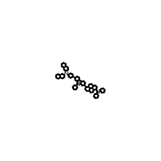 c1ccc(N(c2ccccc2)c2ccc3ccc4c(-c5ccc6c7ccc(-c8ccc(N(c9ccc%10ccccc%10c9)c9ccc%10ccccc%10c9)cc8)cc7n(-c7ccccc7)c6c5)ccc5ccc2c3c54)cc1